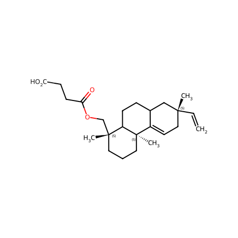 C=C[C@]1(C)CC=C2C(CCC3[C@@](C)(COC(=O)CCC(=O)O)CCC[C@]23C)C1